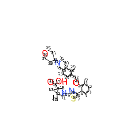 Cc1cccc(-c2csc(N3C[C@@H]4C[C@]4(C(=O)O)C3)n2)c1OCc1ccc2c(c1C)CCN(C1CCOCC1)C2